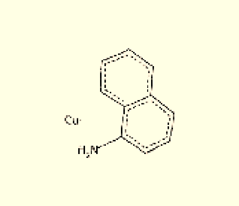 Nc1cccc2ccccc12.[Cu]